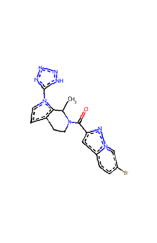 CC1c2c(ccn2-c2nnn[nH]2)CCN1C(=O)c1cc2ccc(Br)cn2n1